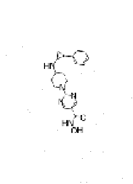 O=C(NO)c1cnc(N2CCC(NC3CC3c3ccccc3)CC2)nc1